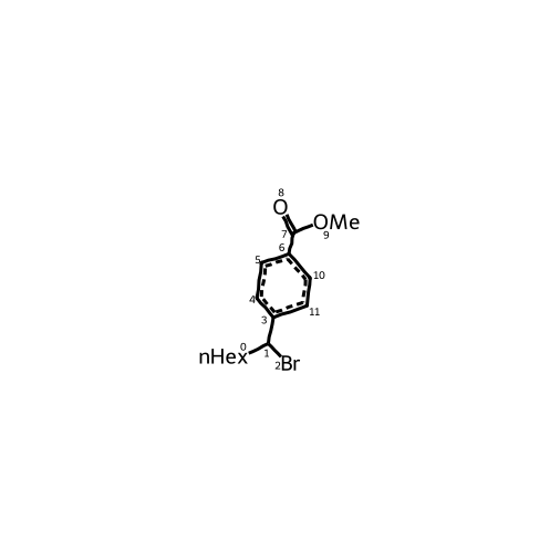 CCCCCCC(Br)c1ccc(C(=O)OC)cc1